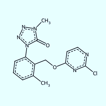 Cc1cccc(-n2nnn(C)c2=O)c1COc1ccnc(Cl)n1